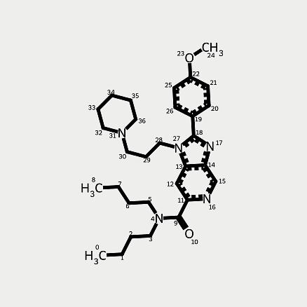 CCCCN(CCCC)C(=O)c1cc2c(cn1)nc(-c1ccc(OC)cc1)n2CCCN1CCCCC1